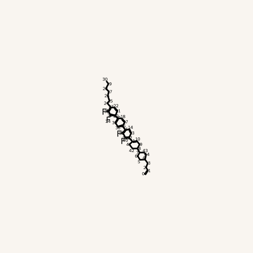 C=CCCC1CCC(C2CC=C(c3ccc(-c4ccc(-c5ccc(CCCCCCC)c(F)c5F)cc4)c(F)c3F)CC2)CC1